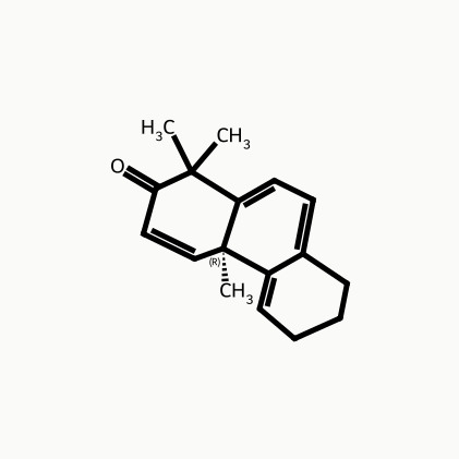 CC1(C)C(=O)C=C[C@]2(C)C3=CCCCC3=CC=C12